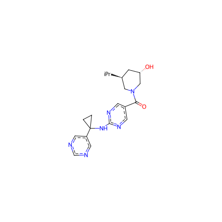 CC(C)[C@H]1C[C@H](O)CN(C(=O)c2cnc(NC3(c4cncnc4)CC3)nc2)C1